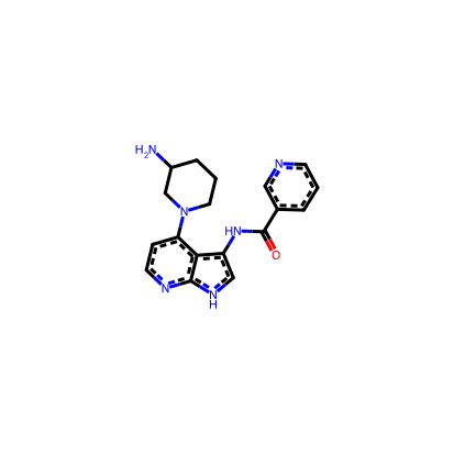 NC1CCCN(c2ccnc3[nH]cc(NC(=O)c4cccnc4)c23)C1